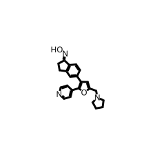 ON=C1CCc2cc(-c3cc(CN4CCCC4)oc3-c3ccncc3)ccc21